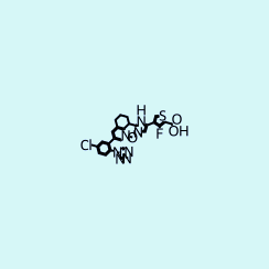 O=C(O)c1scc(-c2cnc(C3CCCc4cc(-c5cc(Cl)ccc5-n5cnnn5)c[n+]([O-])c43)[nH]2)c1F